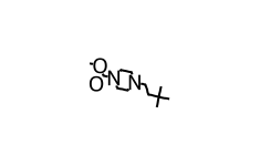 COC(=O)N1CCN(CCC(C)(C)C)CC1